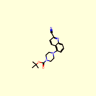 CC(C)(C)OC(=O)N1CCN(c2cccc3nc(C#N)ccc23)CC1